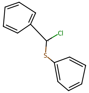 Cl[C](Sc1ccccc1)c1ccccc1